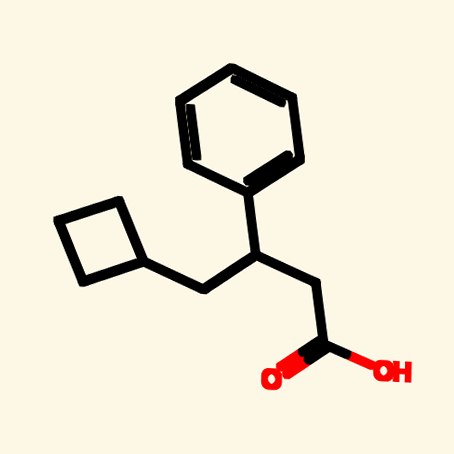 O=C(O)CC(CC1CCC1)c1ccccc1